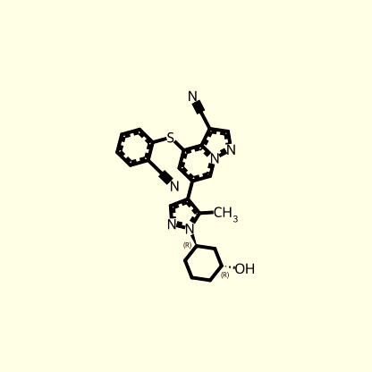 Cc1c(-c2cc(Sc3ccccc3C#N)c3c(C#N)cnn3c2)cnn1[C@@H]1CCC[C@@H](O)C1